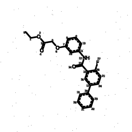 CCOC(=O)COc1cccc(NC(=O)c2cc(-c3ccccc3)ccc2F)c1